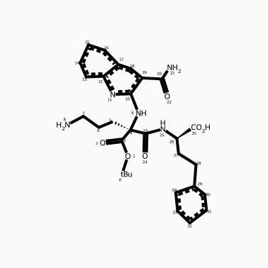 CC(C)(C)OC(=O)[C@@](CCCN)(Nc1nc2ccccc2cc1C(N)=O)C(=O)N[C@H](CCc1ccccc1)C(=O)O